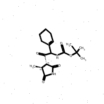 C[C@@H]1C(=O)NC(=O)[C@H]1C(=O)C(NC(=O)OC(C)(C)C)C1=CCCCC1